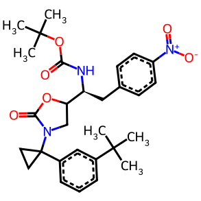 CC(C)(C)OC(=O)N[C@@H](Cc1ccc([N+](=O)[O-])cc1)C1CN(C2(c3cccc(C(C)(C)C)c3)CC2)C(=O)O1